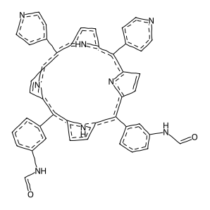 O=CNc1cccc(-c2c3nc(c(-c4ccncc4)c4ccc([nH]4)c(-c4ccncc4)c4nc(c(-c5cccc(NC=O)c5)c5ccc2[nH]5)C=C4)C=C3)c1